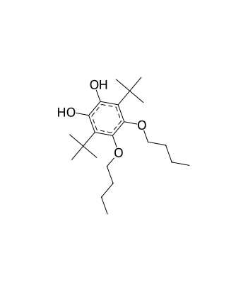 CCCCOc1c(OCCCC)c(C(C)(C)C)c(O)c(O)c1C(C)(C)C